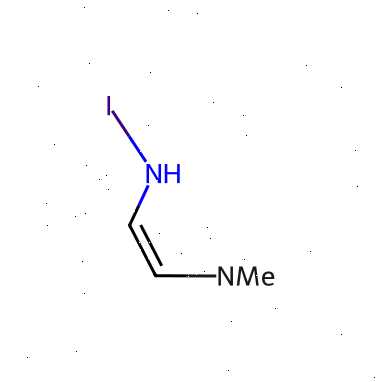 CN/C=C\NI